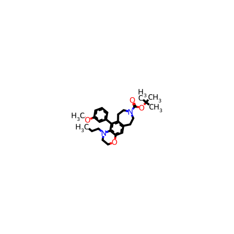 CCCN1CCOc2cc3c(c(-c4cccc(OC)c4)c21)CCN(C(=O)OC(C)(C)C)CC3